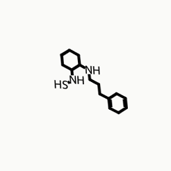 SNC1CCCCC1NCCCC1=CCC=CC1